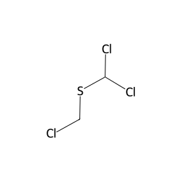 ClCSC(Cl)Cl